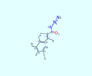 C/C(C(=O)N=[N+]=[N-])=C(/C)c1cc(C)c(C)c(C)c1C